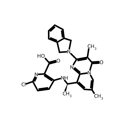 Cc1cc([C@@H](C)Nc2ccc(Cl)nc2C(=O)O)c2nc(N3Cc4ccccc4C3)c(C)c(=O)n2c1